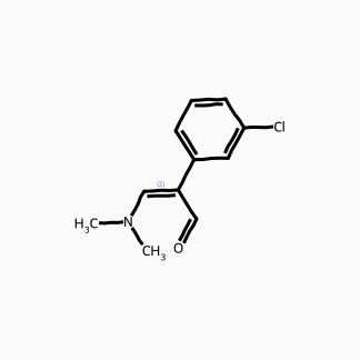 CN(C)/C=C(\C=O)c1cccc(Cl)c1